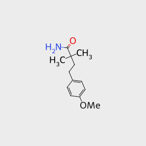 COc1ccc(CCC(C)(C)C(N)=O)cc1